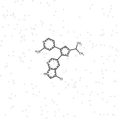 CC(C)n1cc(-c2ccnc(N)c2)c(-c2cnc3[nH]cc(Cl)c3c2)n1